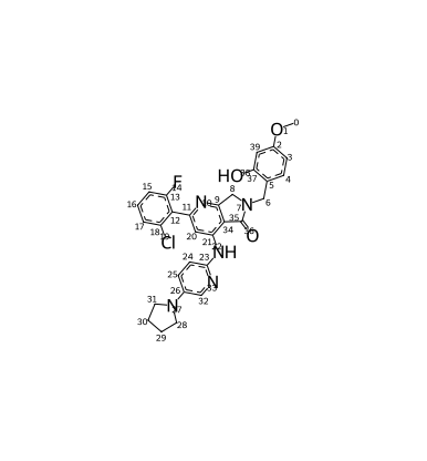 COc1ccc(CN2Cc3nc(-c4c(F)cccc4Cl)cc(Nc4ccc(N5CCCC5)cn4)c3C2=O)c(O)c1